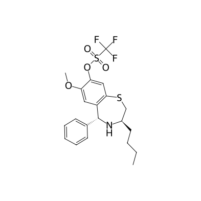 CCCC[C@@H]1CSc2cc(OS(=O)(=O)C(F)(F)F)c(OC)cc2[C@@H](c2ccccc2)N1